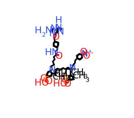 Cc1ccc(S(=O)(=O)O)cc1C(C)(C)C(/C=C/C=C/C=C1/N(CCCCCC(=O)NCc2ccc(COc3nc(N)nc4[nH]cnc34)cc2)c2ccc(S(=O)(=O)O)cc2C1(C)C)=N/CCCc1ccc([N+](=O)[O-])cc1